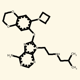 CC(C)CNCCn1c(Sc2cc3c(cc2N2CCC2)OCCO3)nc2c(N)ncnc21